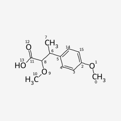 COc1ccc(C(C)C(OC)C(=O)O)cc1